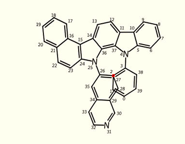 c1ccc(-n2c3ccccc3c3ccc4c5c6ccccc6ccc5n(-c5ccc6cnccc6c5)c4c32)cc1